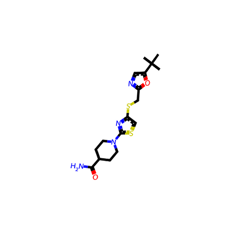 CC(C)(C)c1cnc(CSc2csc(N3CCC(C(N)=O)CC3)n2)o1